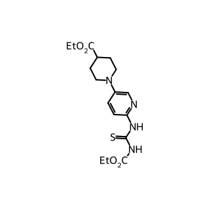 CCOC(=O)NC(=S)Nc1ccc(N2CCC(C(=O)OCC)CC2)cn1